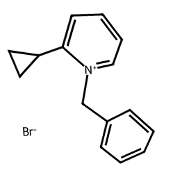 [Br-].c1ccc(C[n+]2ccccc2C2CC2)cc1